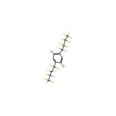 FC(F)(F)C(F)(F)C(F)(F)C(F)(F)c1cc(Br)c(C(F)(F)C(F)(F)C(F)(F)C(F)(F)F)cc1Br